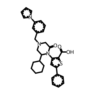 O=C(O)c1sc(-c2ccccc2)cc1N1C(=O)CN(Cc2cccc(-n3cccc3)c2)CC1C1CCCCC1